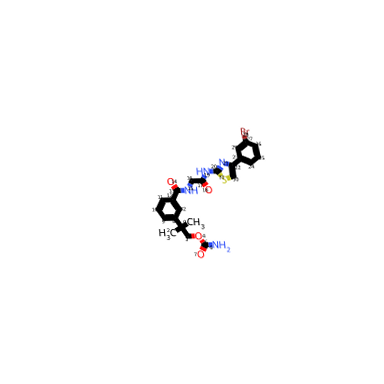 CC(C)(COC(N)=O)c1cccc(C(=O)NCC(=O)Nc2nc(-c3cccc(Br)c3)cs2)c1